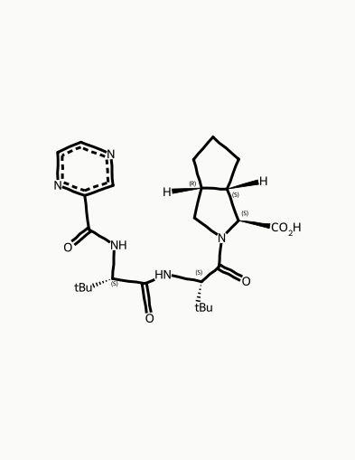 CC(C)(C)[C@H](NC(=O)c1cnccn1)C(=O)N[C@H](C(=O)N1C[C@@H]2CCC[C@@H]2[C@H]1C(=O)O)C(C)(C)C